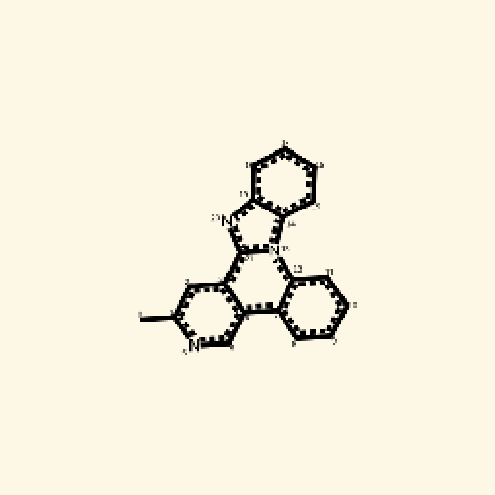 Cc1cc2c(cn1)c1ccccc1n1c3ccccc3nc21